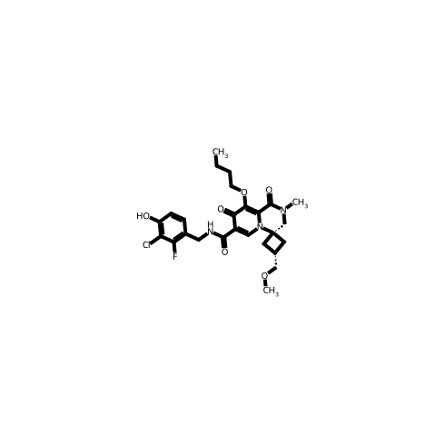 CCCCOc1c2n(cc(C(=O)NCc3ccc(O)c(Cl)c3F)c1=O)[C@]1(CN(C)C2=O)C[C@@H](COC)C1